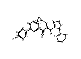 CC(c1ncnn1-c1ncccn1)N(CC1CC1)C(=O)c1cccc(-c2ccc(F)cc2)c1